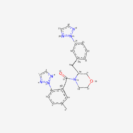 Cc1ccc(-n2nccn2)c(C(=O)N2CCOCC2Cc2cccc(-n3nccn3)c2)c1